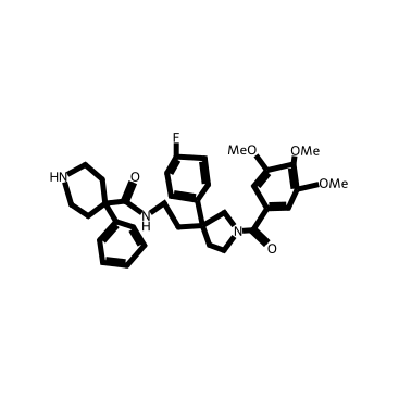 COc1cc(C(=O)N2CCC(CCNC(=O)C3(c4ccccc4)CCNCC3)(c3ccc(F)cc3)C2)cc(OC)c1OC